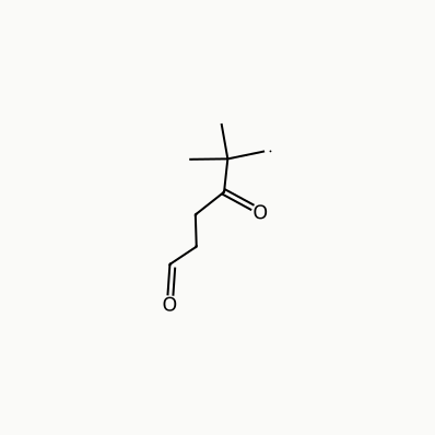 [CH2]C(C)(C)C(=O)CCC=O